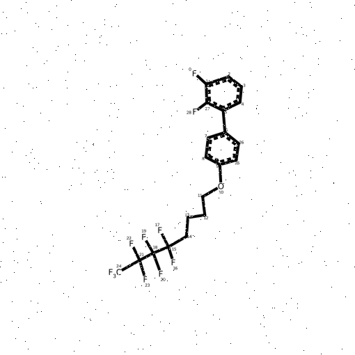 Fc1cccc(-c2ccc(OCCCCC(F)(F)C(F)(F)C(F)(F)C(F)(F)F)cc2)c1F